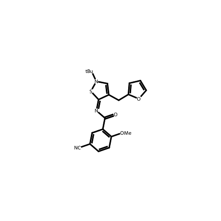 COc1ccc(C#N)cc1C(=O)N=c1sn(C(C)(C)C)cc1Cc1ccco1